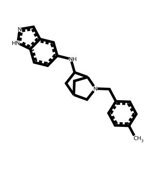 Cc1ccc(CN2CC3CC(Nc4ccc5[nH]ncc5c4)C2C3)cc1